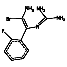 NC(N)=N/C(=C(\N)Br)c1ccccc1F